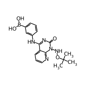 CC(C)(C)ONn1c(=O)nc(Nc2cccc(B(O)O)c2)c2cccnc21